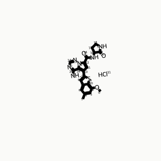 COc1cc(C)cc2cc(-c3cc(C(=O)NC4CCNC4=O)n4ncnc(N)c34)sc12.Cl